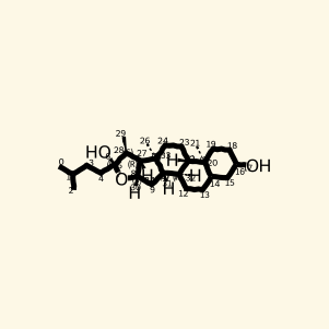 CC(C)CC[C@@]1(O)O[C@H]2C[C@H]3[C@@H]4CCC5CC(O)CC[C@]5(C)[C@H]4CC[C@]3(C)[C@H]2[C@@H]1C